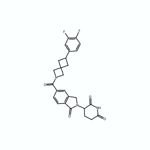 O=C1CCC(N2Cc3cc(C(=O)N4CC5(CC(c6ccc(F)c(F)c6)C5)C4)ccc3C2=O)C(=O)N1